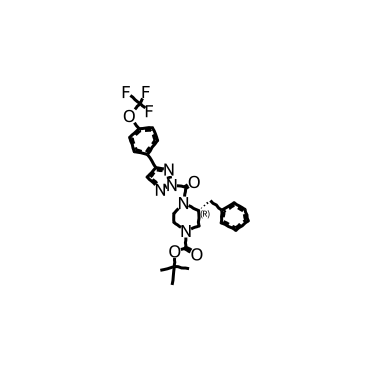 CC(C)(C)OC(=O)N1CCN(C(=O)n2ncc(-c3ccc(OC(F)(F)F)cc3)n2)[C@H](Cc2ccccc2)C1